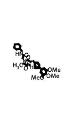 CCCCN1C(=O)[C@@H](C)N(CC(=O)NCC2CCCCC2)C(=O)[C@H]1Cc1ccc(-c2cc(OC)c(OC)c(OC)c2)cc1